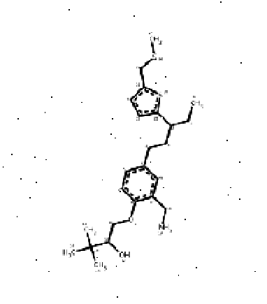 CCC(CCc1ccc(OCC(O)C(C)(C)C)c(CN)c1)c1ccc(CSC)s1